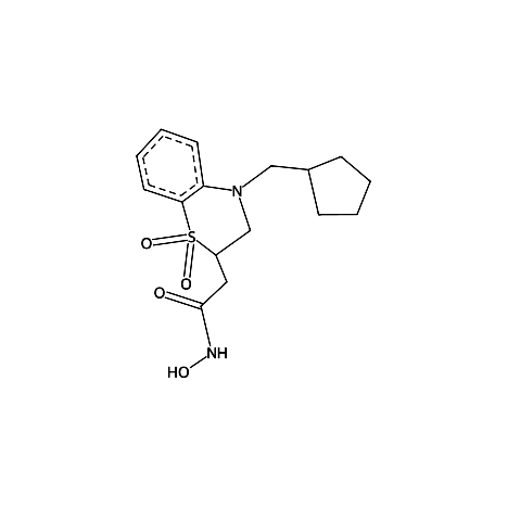 O=C(CC1CN(CC2CCCC2)c2ccccc2S1(=O)=O)NO